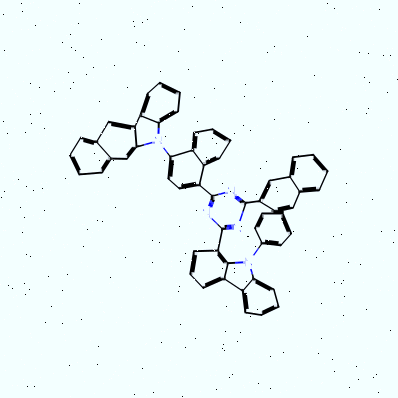 c1ccc(-n2c3ccccc3c3cccc(-c4nc(-c5ccc6ccccc6c5)nc(-c5ccc(-n6c7ccccc7c7cc8ccccc8cc76)c6ccccc56)n4)c32)cc1